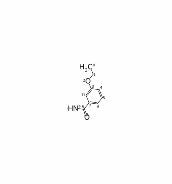 CCOc1cccc(C([NH])=O)c1